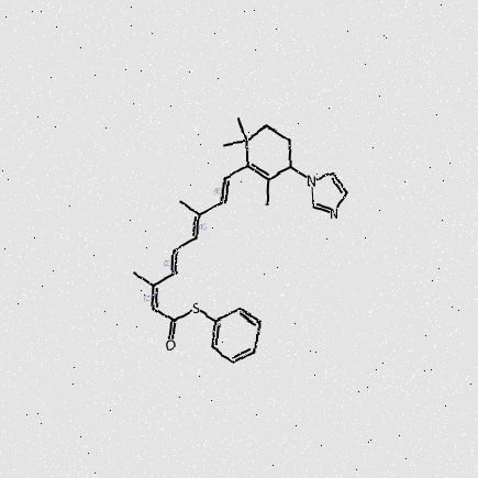 CC1=C(/C=C/C(C)=C/C=C/C(C)=C\C(=O)Sc2ccccc2)C(C)(C)CCC1n1ccnc1